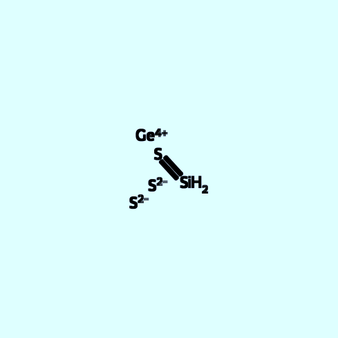 [Ge+4].[S-2].[S-2].[SiH2]=S